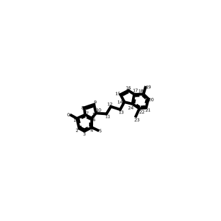 Cc1ccc(C)c2c1C=C[C]2CCC[C]1C=Cc2c(C)ccc(C)c21